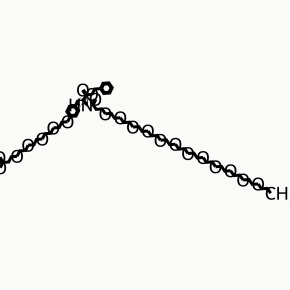 CCCOCCOCCOCCOCCOCCOCCOCCOCCOCCOCCOCCOCCC(=O)N[C@@H](Cc1ccc(OCCOCCOCCOCCOCCC(=O)O)cc1)C(=O)OCc1ccccc1